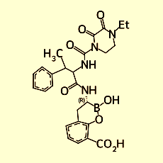 CCN1CCN(C(=O)NC(C(=O)N[C@H]2Cc3cccc(C(=O)O)c3OB2O)C(C)c2ccccc2)C(=O)C1=O